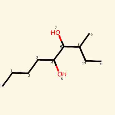 CCCCC(O)C(O)C(C)CC